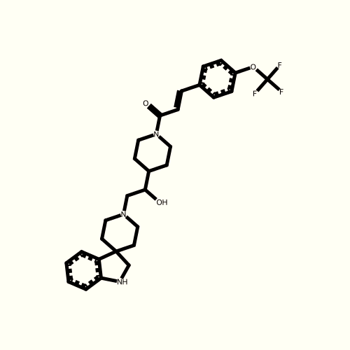 O=C(/C=C/c1ccc(OC(F)(F)F)cc1)N1CCC(C(O)CN2CCC3(CC2)CNc2ccccc23)CC1